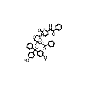 COc1ccc(C(OC[C@@]2(COC(=O)c3ccccc3)COC[C@H](n3ccc(NC(=O)c4ccccc4)nc3=O)O2)(c2ccccc2)c2ccc(OC)cc2)cc1